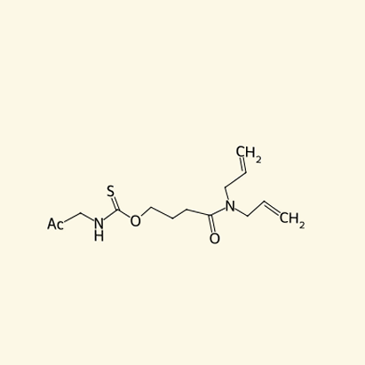 C=CCN(CC=C)C(=O)CCCOC(=S)NCC(C)=O